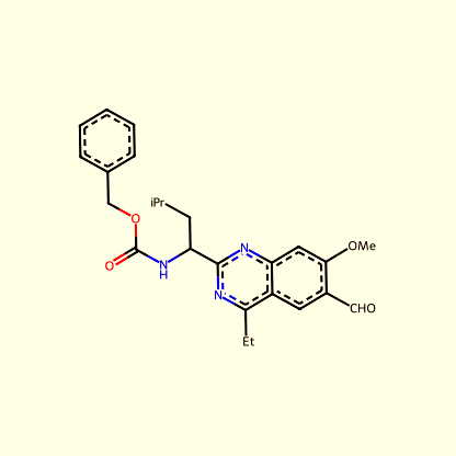 CCc1nc(C(CC(C)C)NC(=O)OCc2ccccc2)nc2cc(OC)c(C=O)cc12